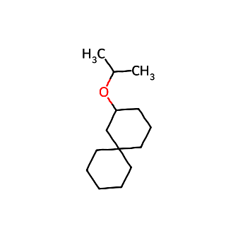 CC(C)OC1CCCC2(CCCCC2)C1